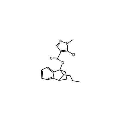 CCCC1C2CCC1(OC(=O)c1cnn(C)c1Cl)c1ccccc12